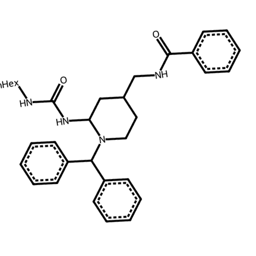 CCCCCCNC(=O)NC1CC(CNC(=O)c2ccccc2)CCN1C(c1ccccc1)c1ccccc1